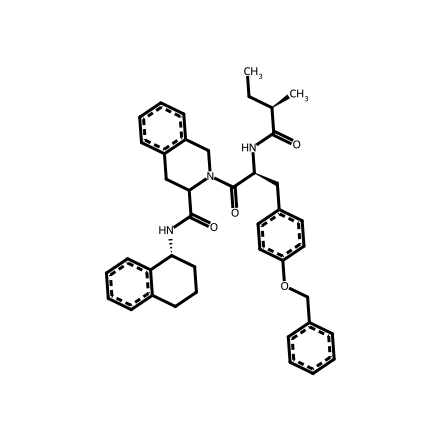 CC[C@@H](C)C(=O)N[C@@H](Cc1ccc(OCc2ccccc2)cc1)C(=O)N1Cc2ccccc2CC1C(=O)N[C@@H]1CCCc2ccccc21